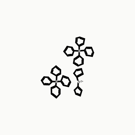 C1=CC[C]([Zr+2][C]2=CC=CC2)=C1.c1ccc([B-](c2ccccc2)(c2ccccc2)c2ccccc2)cc1.c1ccc([B-](c2ccccc2)(c2ccccc2)c2ccccc2)cc1